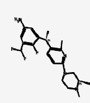 Cc1nc(N2CCN(C)[C@H](C)C2)ccc1[C@@H](C)c1cc(N)cc(C(F)F)c1F